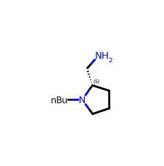 CCCCN1CCC[C@H]1CN